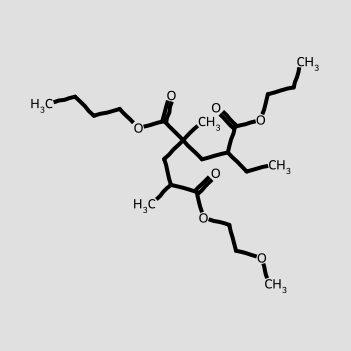 CCCCOC(=O)C(C)(CC(C)C(=O)OCCOC)CC(CC)C(=O)OCCC